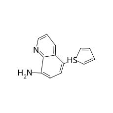 Nc1ccc([SH]2C=CC=C2)c2cccnc12